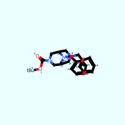 CC(C)(C)OC(=O)N1CC2CN(Cc3ccccc3)CC(C1)N2Cc1ccccc1